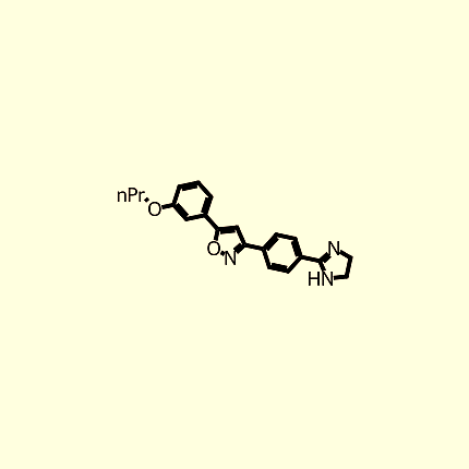 CCCOc1cccc(-c2cc(-c3ccc(C4=NCCN4)cc3)no2)c1